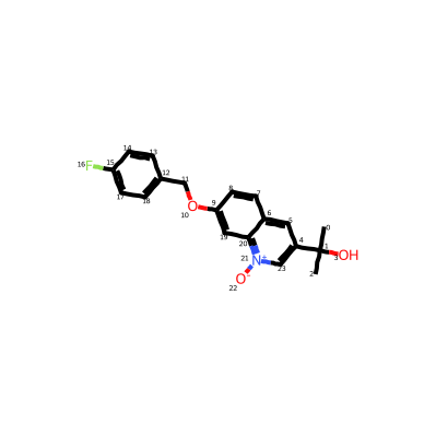 CC(C)(O)c1cc2ccc(OCc3ccc(F)cc3)cc2[n+]([O-])c1